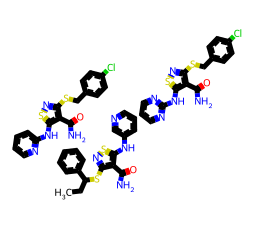 CCC(Sc1nsc(Nc2cccnc2)c1C(N)=O)c1ccccc1.NC(=O)c1c(SCc2ccc(Cl)cc2)nsc1Nc1ccccn1.NC(=O)c1c(SCc2ccc(Cl)cc2)nsc1Nc1ncccn1